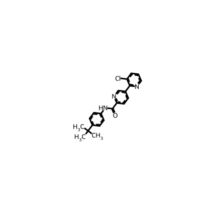 CC(C)(C)c1ccc(NC(=O)c2ccc(-c3ncccc3Cl)cn2)cc1